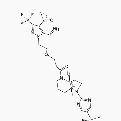 N=Cc1c(C(N)=O)c(C(F)(F)F)nn1CCOCCC(=O)N1CCC[C@@H]2[C@H]1CCN2c1ncc(C(F)(F)F)cn1